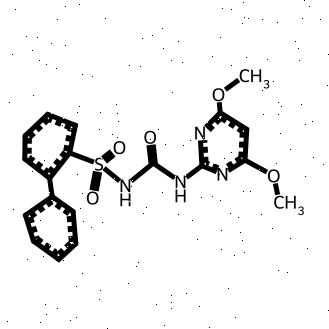 COc1cc(OC)nc(NC(=O)NS(=O)(=O)c2ccccc2-c2ccccc2)n1